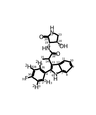 [2H]c1c([2H])c(-c2[nH]c3ccccc3c2C(C)C(=O)N[C@@H]2C(=O)NC[C@H]2O)c([2H])c([2H])c1F